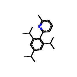 Cc1cccc(-c2c(C(C)C)cc(C(C)C)cc2C(C)C)n1